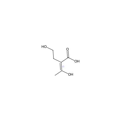 C/C(O)=C(\CCO)C(=O)O